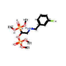 CCOP(=O)(OCC)OC(CNCc1cccc(F)c1)P(=O)(OCC)OCC